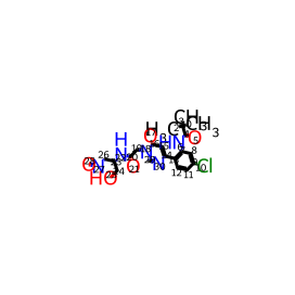 CC(C)(C)C(=O)Nc1cc(Cl)ccc1-c1cc(=O)n(CC(=O)NC(CO)CN=O)cn1